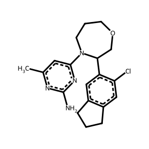 Cc1cc(N2CCCOCC2c2cc3c(cc2Cl)CCC3)nc(N)n1